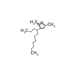 CCCCCCCC(CCC)c1cc(C)nn1C